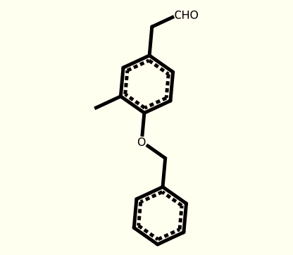 Cc1cc(CC=O)ccc1OCc1ccccc1